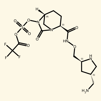 NC[C@H]1CN[C@H](CONC(=O)[C@@H]2CC[C@@H]3CN2C(=O)N3OS(=O)(=O)OC(=O)C(F)(F)F)C1